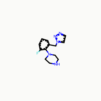 Fc1cccc([CH]n2ccnn2)c1N1CCNCC1